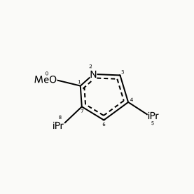 COc1ncc(C(C)C)cc1C(C)C